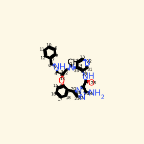 CN1C[C@H](CNCc2ccccc2)Oc2ccccc2-c2cnc(N)c(n2)C(=O)Nc2cnccc21